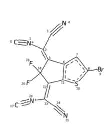 [C-]#[N+]/C(C#N)=C1/c2cc(Br)sc2/C(=C(\C#N)[N+]#[C-])C1(F)F